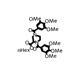 CCCCCCOC(=O)C1CN(C(=O)c2cc(OC)c(OC)c(OC)c2)CCN1C(=O)c1cc(OC)c(OC)c(OC)c1